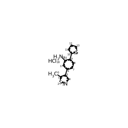 Cc1sncc1-c1ccc(-c2cccs2)c(N)c1.Cl